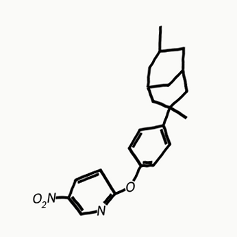 CC1CC2CC(C1)CC(C)(c1ccc(Oc3ccc([N+](=O)[O-])cn3)cc1)C2